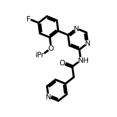 CC(C)Oc1cc(F)ccc1-c1cc(NC(=O)Cc2ccncc2)ncn1